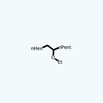 CCCCCCCC(CCCCC)OCC